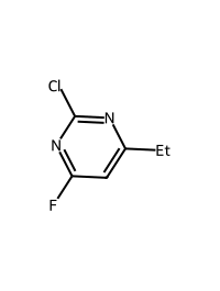 CCc1cc(F)nc(Cl)n1